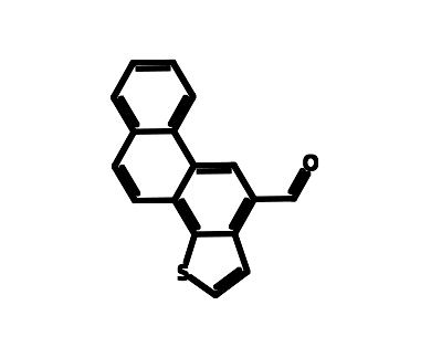 O=Cc1cc2c3ccccc3ccc2c2sccc12